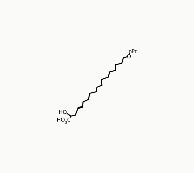 CCCOCCCCCCCCCCCCCC=CCC(O)C(=O)O